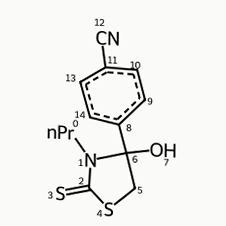 CCCN1C(=S)SCC1(O)c1ccc(C#N)cc1